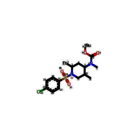 CCC1CC(N(C)C(=O)OC(C)(C)C)C(C)CN1S(=O)(=O)c1ccc(Cl)cc1